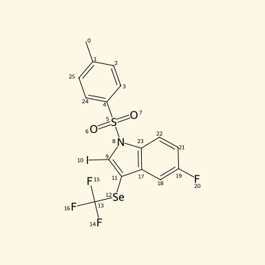 Cc1ccc(S(=O)(=O)n2c(I)c([Se]C(F)(F)F)c3cc(F)ccc32)cc1